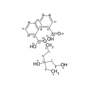 CCCC(O)(CC)CCO.O=C(O)c1ccccc1.O=C(O)c1ccccc1